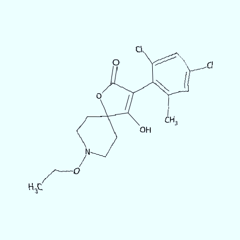 CCON1CCC2(CC1)OC(=O)C(c1c(C)cc(Cl)cc1Cl)=C2O